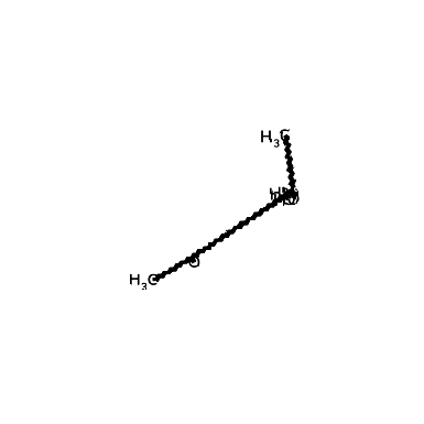 CCCCCCCCCCCCCCCC[C@H](CO)NC(=O)CCCCCCCCCCCCCCCCCCCCCCCCCCCCCC(=O)CCCCCCCCCCCCC